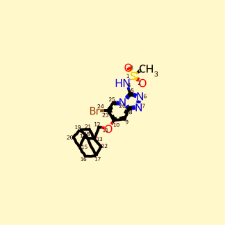 CS(=O)(=O)Nc1nnc2cc(OCC34CC5CC(CC(C5)C3)C4)c(Br)cn12